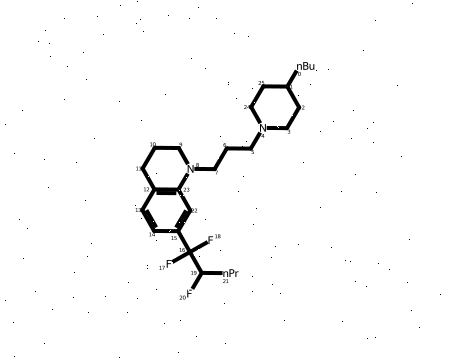 CCCCC1CCN(CCCN2CCCc3ccc(C(F)(F)C(F)CCC)cc32)CC1